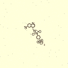 CN(C)c1ccc2nccc(CN3CC(=O)N(c4ccc(S(=O)(=O)C(F)(F)F)cc4)C3=O)c2c1